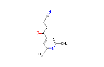 Cc1cc(C(=O)CCC#N)cc(C)n1